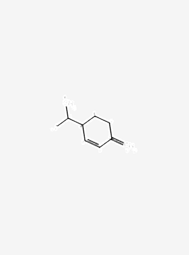 C=C1C=CC(C(C)I)CC1